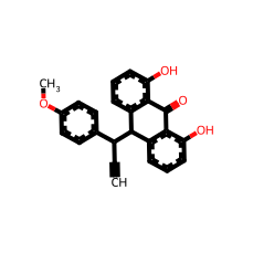 C#CC(c1ccc(OC)cc1)C1c2cccc(O)c2C(=O)c2c(O)cccc21